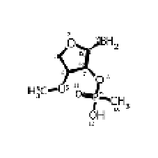 B[C@@H]1OCC(OC)[C@@H]1OP(C)(=O)O